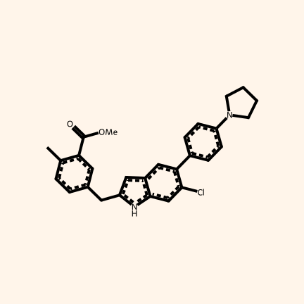 COC(=O)c1cc(Cc2cc3cc(-c4ccc(N5CCCC5)cc4)c(Cl)cc3[nH]2)ccc1C